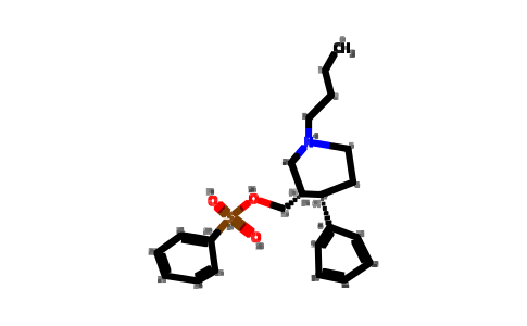 CCCCN1CC[C@H](c2ccccc2)[C@H](COS(=O)(=O)c2ccccc2)C1